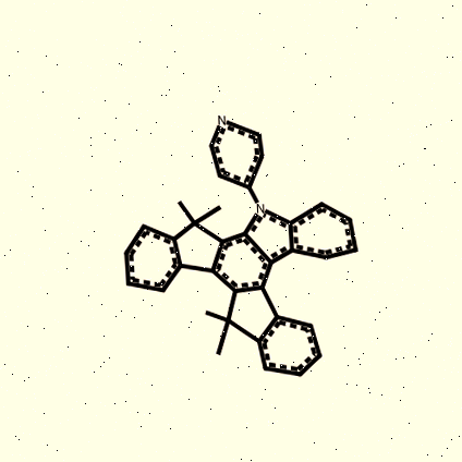 CC1(C)c2ccccc2-c2c1c1c(c3c2c2ccccc2n3-c2ccncc2)C(C)(C)c2ccccc2-1